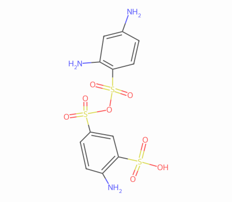 Nc1ccc(S(=O)(=O)OS(=O)(=O)c2ccc(N)c(S(=O)(=O)O)c2)c(N)c1